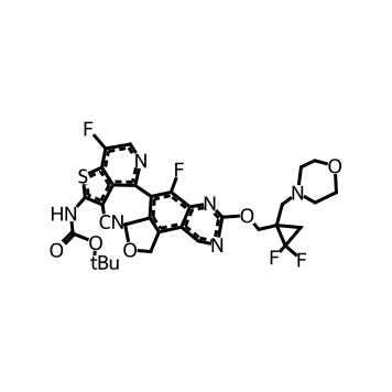 CC(C)(C)OC(=O)Nc1sc2c(F)cnc(-c3c4c(c5cnc(OCC6(CN7CCOCC7)CC6(F)F)nc5c3F)COC4)c2c1C#N